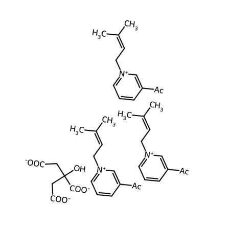 CC(=O)c1ccc[n+](CC=C(C)C)c1.CC(=O)c1ccc[n+](CC=C(C)C)c1.CC(=O)c1ccc[n+](CC=C(C)C)c1.O=C([O-])CC(O)(CC(=O)[O-])C(=O)[O-]